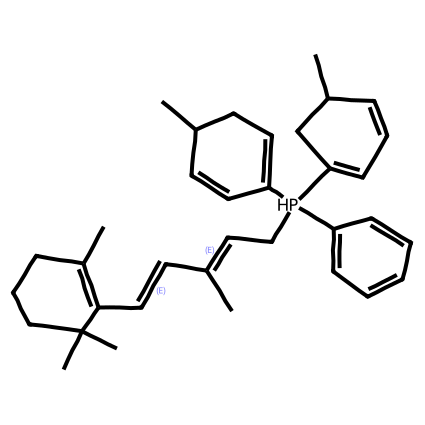 CC1=C(/C=C/C(C)=C/C[PH](C2=CCC(C)C=C2)(C2=CC=CC(C)C2)c2ccccc2)C(C)(C)CCC1